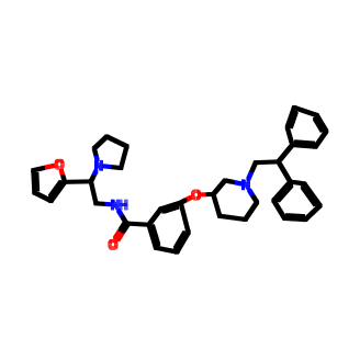 O=C(NCC(c1ccco1)N1CCCC1)c1cccc(OC2CCCN(CC(c3ccccc3)c3ccccc3)C2)c1